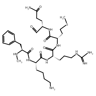 CN[C@@H](Cc1ccccc1)C(=O)N[C@@H](CCCCN)C(=O)N[C@@H](CCCNC(=N)N)C(=O)N[C@@H](CCSC)C(=O)N[C@H]([C]=O)CCC(N)=O